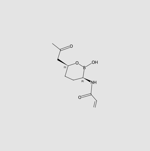 C=CC(=O)N[C@H]1CC[C@@H](CC(C)=O)OB1O